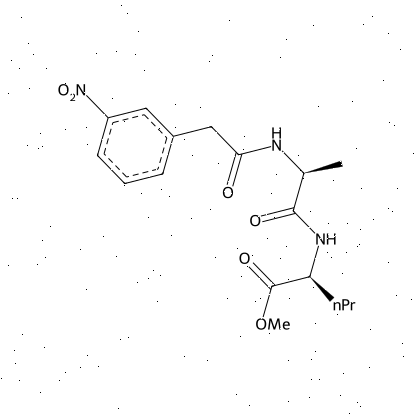 CCC[C@H](NC(=O)[C@H](C)NC(=O)Cc1cccc([N+](=O)[O-])c1)C(=O)OC